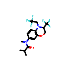 CC(C)C(=O)N(C)c1ccc2c(c1)OCC(C(F)(F)F)N2CC(F)(F)F